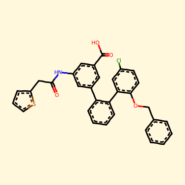 O=C(Cc1cccs1)Nc1cc(C(=O)O)cc(-c2ccccc2-c2cc(Cl)ccc2OCc2ccccc2)c1